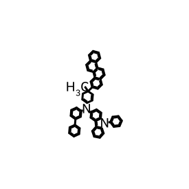 CC1(c2ccc3ccc4c5ccccc5ccc4c3c2)C=CC(N(c2cccc(-c3ccccc3)c2)c2ccc3c(c2)c2ccccc2n3-c2ccccc2)=CC1